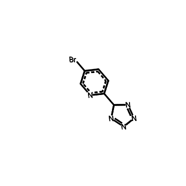 Brc1ccc(C2N=NN=N2)nc1